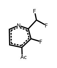 CC(=O)c1ccnc(C(F)F)c1F